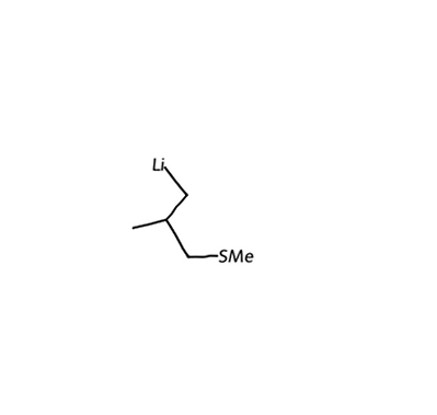 [Li][CH2]C(C)CSC